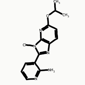 CC(C)Oc1ccc2nc(-c3cccnc3N)n(Cl)c2n1